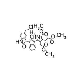 CCOC(=O)CCc1c(C(=O)OCC)[nH]c(C2=C(C)C(C3C(=O)Nc4ccc(CCCl)cc43)c3ccccc32)c1CC(=O)OCC